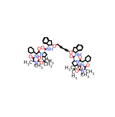 C[C@@H](C(=O)N[C@H](C(=O)N1CCC[C@H]1C(=O)N[C@H]1c2ccccc2C[C@H]1OC#CC#CCO[C@@H]1Cc2ccccc2[C@@H]1NC(=O)[C@@H]1CCCN1C(=O)[C@@H](NC(=O)[C@H](C)N(C)C(=O)OC(C)(C)C)C1CCCCC1)C1CCCCC1)N(C)C(=O)OC(C)(C)C